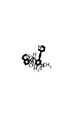 Cc1ccc2cccnc2c1S(=O)(=O)Nc1ccc(N(C)C)cc1C#Cc1cccnc1